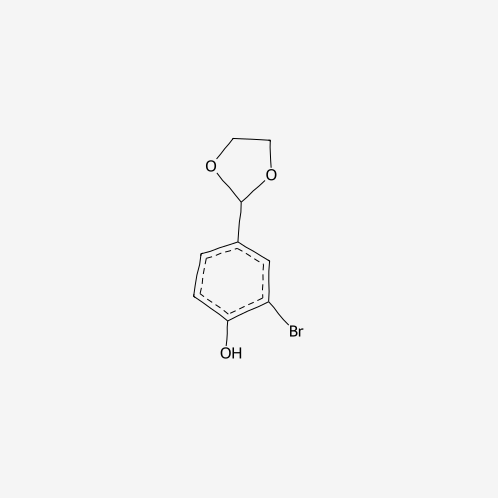 Oc1ccc(C2OCCO2)cc1Br